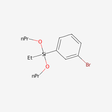 CCCO[Si](CC)(OCCC)c1cccc(Br)c1